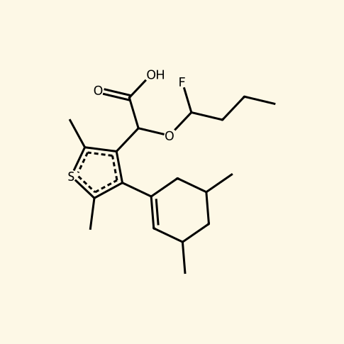 CCCC(F)OC(C(=O)O)c1c(C)sc(C)c1C1=CC(C)CC(C)C1